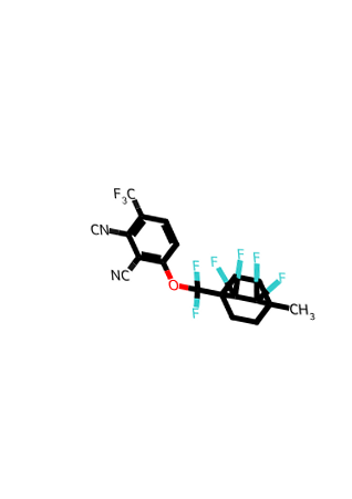 [C-]#[N+]c1c(C(F)(F)F)ccc(OC(F)(F)C23CCC(C)(CC2)C(F)(F)C3(F)F)c1C#N